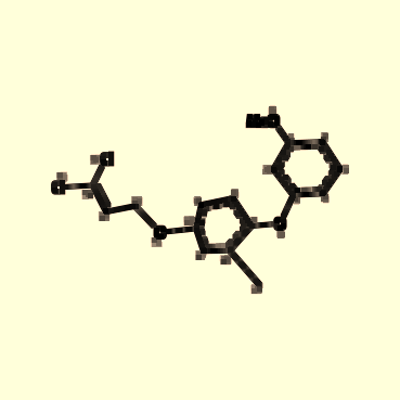 COc1cccc(Oc2ccc(OCC=C(Cl)Cl)cc2C)c1